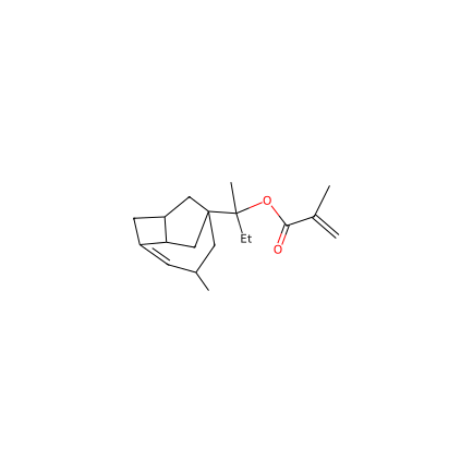 C=C(C)C(=O)OC(C)(CC)C12CC(C)C=C3CC(C1)C3C2